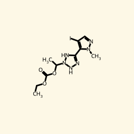 CCOC(=O)OC(C)N1NN=C(c2c(I)cnn2C)N1